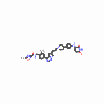 Cc1cc(-c2ncnn3cc(CCCN4CCC(c5ccc(NC6CCC(=O)NC6=O)cc5)CC4)cc23)ccc1CNC(=O)c1noc(C(C)(C)C)n1